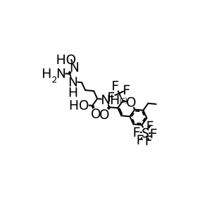 CCc1cc(S(F)(F)(F)(F)F)cc2c1O[C@H](C(F)(F)F)C(C(=O)NC(CCCNC(N)=NO)C(=O)O)=C2